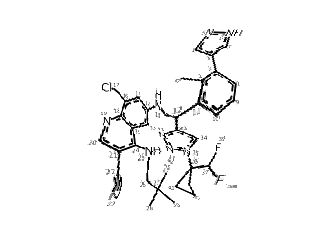 Cc1c(-c2cn[nH]c2)cccc1[C@H](Nc1cc(Cl)c2ncc(C#N)c(NCC(C)(C)C)c2c1)c1cn(C2(C(F)F)CC2)nn1